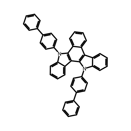 c1ccc(-c2ccc(-n3c4ccccc4c4c3c3ccccc3c3c5ccccc5n(-c5ccc(-c6ccccc6)cc5)c34)cc2)cc1